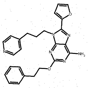 Nc1nc(OCCc2ccccc2)nc2c1nc(-c1ccco1)n2CCCc1ccncc1